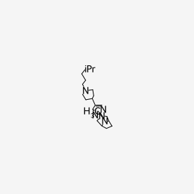 CC(C)CCCN1CCC(c2cnc(N3C4CCC3CN(C)C4)nc2)CC1